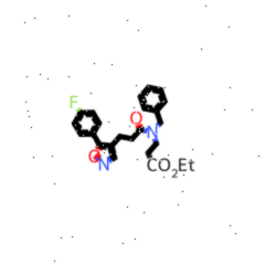 CCOC(=O)CCN(Cc1ccccc1)C(=O)CCc1cnoc1-c1ccc(F)cc1